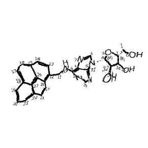 OC[C@H]1O[C@@H](n2cnc3c(NCc4ccc5ccc6cccc7ccc4c5c67)ncnc32)C(O)C1O